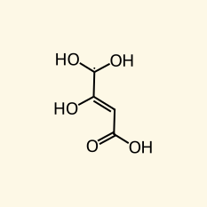 O=C(O)C=C(O)[C](O)O